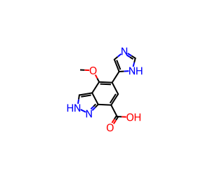 COc1c(-c2cnc[nH]2)cc(C(=O)O)c2n[nH]cc12